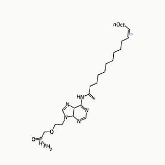 C=C(CCCCCCCCC/C=C\CCCCCCCC)NC1=NC=NC2C1N=CN2CCOC[PH](=O)P